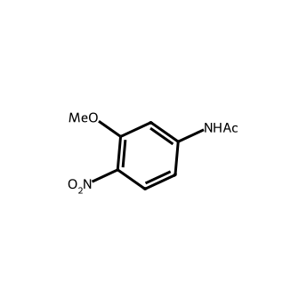 COc1cc(NC(C)=O)ccc1[N+](=O)[O-]